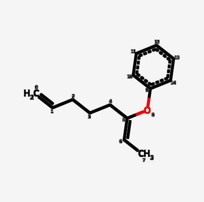 C=CCCC/C(=C/C)Oc1ccccc1